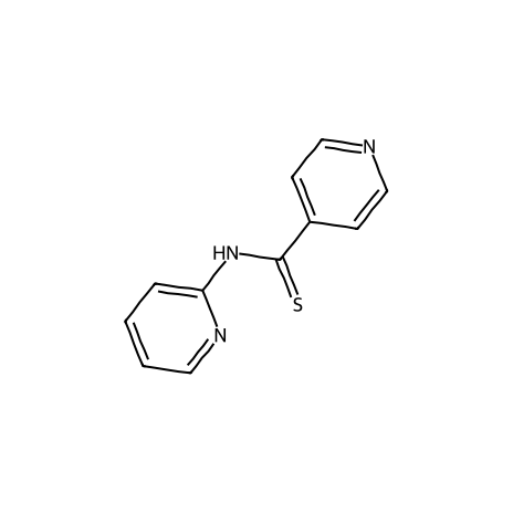 S=C(Nc1ccccn1)c1ccncc1